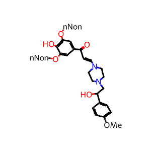 CCCCCCCCCOc1cc(C(=O)C=CN2CCN(CC(O)c3ccc(OC)cc3)CC2)cc(OCCCCCCCCC)c1O